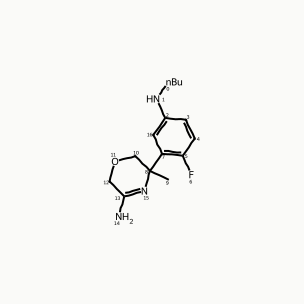 CCCCNc1ccc(F)c(C2(C)COCC(N)=N2)c1